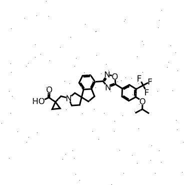 CC(C)Oc1ccc(-c2nc(-c3cccc4c3CCC43CCN(CC4(C(=O)O)CC4)C3)no2)cc1C(F)(F)F